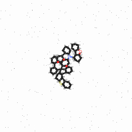 c1ccc(-c2ccccc2N(c2ccc3c(c2)-c2ccccc2-c2ccccc2C32c3ccccc3-c3c2ccc2sc4ccccc4c32)c2cccc3oc4ccccc4c23)cc1